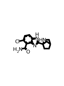 NC(=O)c1c(Cl)ccc2[nH]c(C34CCC(CN3)C4)nc12